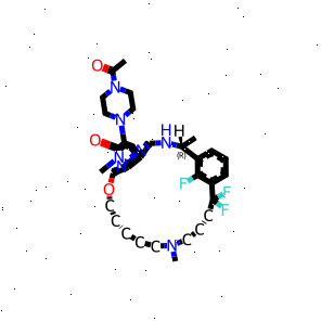 CC(=O)N1CCN(c2cc3c4nnc(c3n(C)c2=O)OCCCCCN(C)CCCC(F)(F)c2cccc(c2F)[C@@H](C)N4)CC1